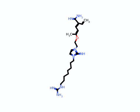 C=C/C(=C\C=C(/C)OCCn1ccn(CCCCCCCCNC(=N)N)c1=N)C(=N)N